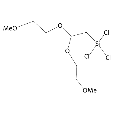 COCCOC(C[Si](Cl)(Cl)Cl)OCCOC